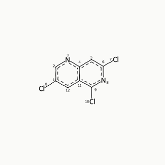 Clc1cnc2cc(Cl)nc(Cl)c2c1